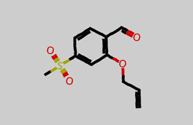 C=CCOc1cc(S(C)(=O)=O)ccc1C=O